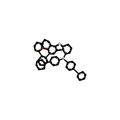 c1ccc(-c2ccc(N(c3ccc(-c4ccccc4)cc3)c3cccc4oc5c6ccccc6c(-c6ccccc6-c6ccccc6)cc5c34)cc2)cc1